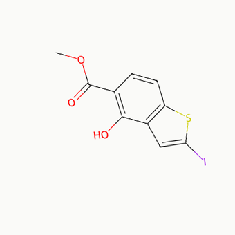 COC(=O)c1ccc2sc(I)cc2c1O